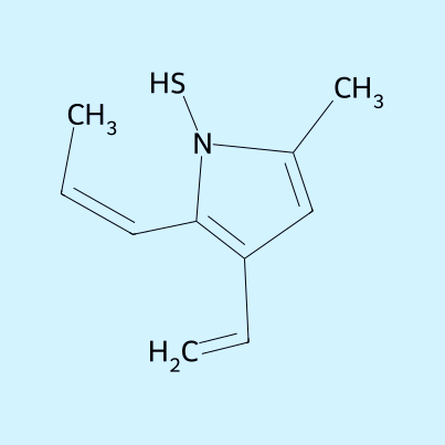 C=Cc1cc(C)n(S)c1/C=C\C